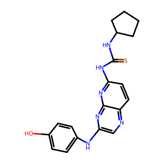 Oc1ccc(Nc2cnc3ccc(NC(=S)NC4CCCC4)nc3n2)cc1